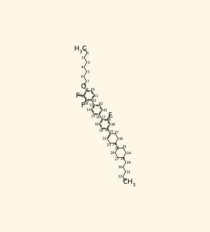 CCCCCCCCOc1ccc(-c2ccc(-c3ccc(C4=CCC(C5CCC(CCCCC)CC5)CC4)cc3F)cc2)c(F)c1F